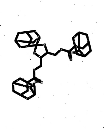 O=C(OCC1OC2(OC1COC(=O)C13CC4CC(C1)C(O)C(C4)C3)C1CC3CC(C1)CC2C3)C12CC3CC(C1)C(O)C(C3)C2